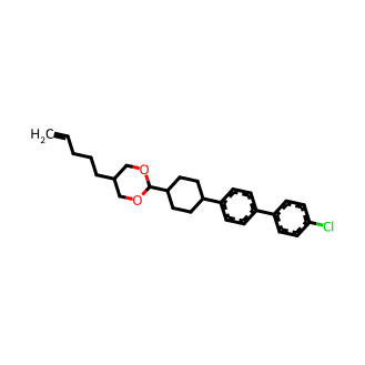 C=CCCCC1COC(C2CCC(c3ccc(-c4ccc(Cl)cc4)cc3)CC2)OC1